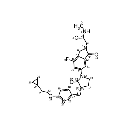 CNC(=O)CN1Cc2c(F)cc(N3CC[C@@H](Oc4ccc(OCCC5CC5)nc4)C3=O)cc2C1=O